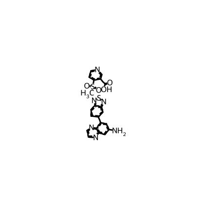 CS(=O)(=O)c1ccncc1C(=O)O.Nc1cc(-c2ccc3nsnc3c2)c2nccnc2c1